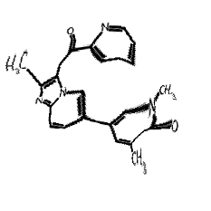 Cc1nc2ccc(-c3cc(C)c(=O)n(C)c3)cn2c1C(=O)c1ccccn1